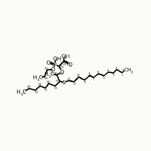 CCCCCCCCCCCCCSC(CCCCCCC)C(C)OC(C(=O)O)P(=O)(O)OCCC